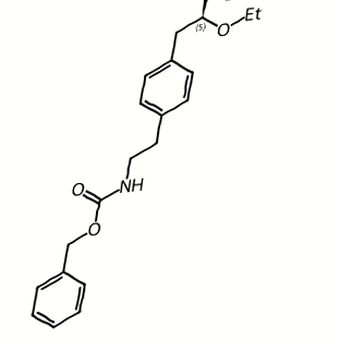 CCO[C@@H](Cc1ccc(CCNC(=O)OCc2ccccc2)cc1)C(=O)O